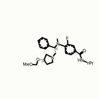 CCCNC(=O)c1ccc(N(C)[C@H](CN2CC[C@H](OCOC)C2)c2ccccc2)c(F)c1